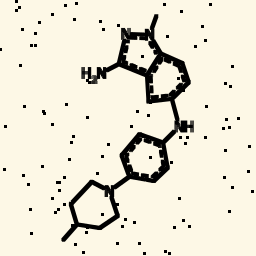 CC1CCN(c2ccc(Nc3ccc4c(c3)c(N)nn4C)cc2)CC1